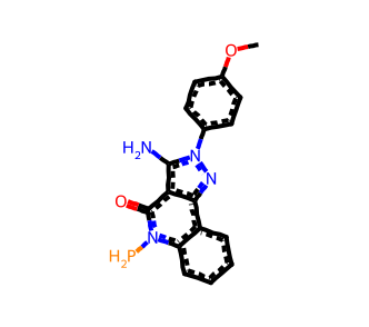 COc1ccc(-n2nc3c(c2N)c(=O)n(P)c2ccccc32)cc1